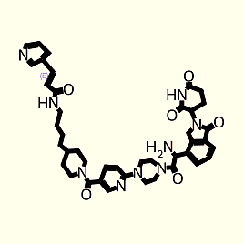 NC(C(=O)N1CCN(c2ccc(C(=O)N3CCC(CCCCNC(=O)/C=C/c4cccnc4)CC3)cn2)CC1)c1cccc2c1CN(C1CCC(=O)NC1=O)C2=O